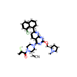 C=C(F)C(=O)N1CCN(c2nc(OC[C@H]3CCCN3C)nc3nc(-c4cccc5cccc(Cl)c45)ccc23)C[C@@H]1CC#N